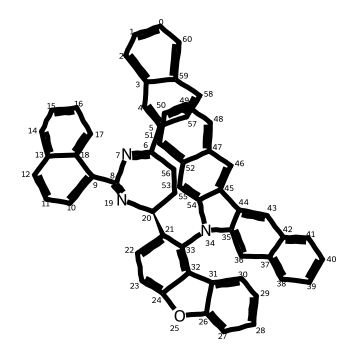 c1ccc2cc(C3=NC(c4cccc5ccccc45)=N[C@H](c4ccc5oc6ccccc6c5c4-n4c5cc6ccccc6cc5c5cc6ccccc6cc54)CC3)ccc2c1